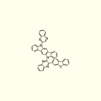 c1ccc2nc(-n3c4ccccc4c4cc5c(cc43)c3ccccc3n5-c3nc4ccccc4nc3-c3ccc4c(c3)sc3ccccc34)cnc2c1